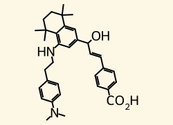 CN(C)c1ccc(CCNc2cc(C(O)C=Cc3ccc(C(=O)O)cc3)cc3c2C(C)(C)CCC3(C)C)cc1